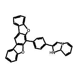 C1=CC2NC(c3ccc(-c4c5oc6ccccc6c5cc5c4oc4ccccc45)cc3)=CN2C=C1